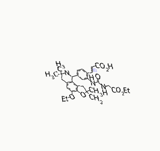 CCOC(=O)CNC(=O)Nc1cc(C2=NC(C)(C)Cc3cc(OCC)c4c(c32)CC(C)(C)O4)ccc1/C=C/C(=O)O